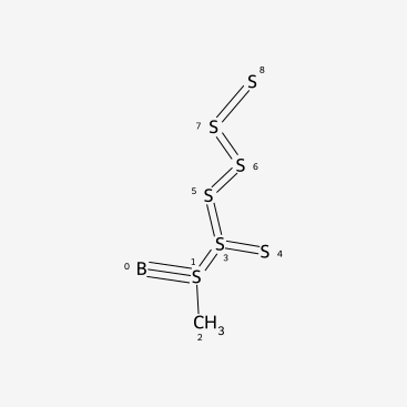 B#S(C)=S(=S)=S=S=S=S